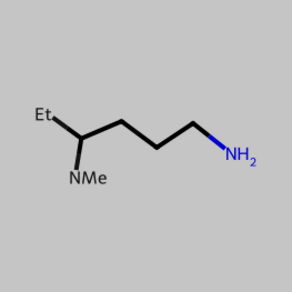 CCC(CCCN)NC